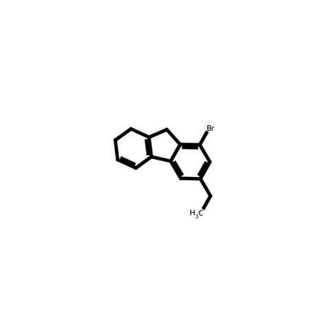 CCc1cc(Br)c2c(c1)C1=C(CCC=C1)C2